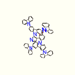 N#Cc1ccc(-n2c3ccc(-n4c5ccccc5c5ccccc54)cc3c3cc(-n4c5ccccc5c5ccccc54)ccc32)c(-c2ccncc2-n2c3ccc(-n4c5ccccc5c5ccccc54)cc3c3cc(-n4c5ccccc5c5ccccc54)ccc32)c1